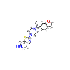 C[C@@H](c1ccc2c(c1)OCC2)N1CCN(c2nc3c(s2)CNCC3)CC1